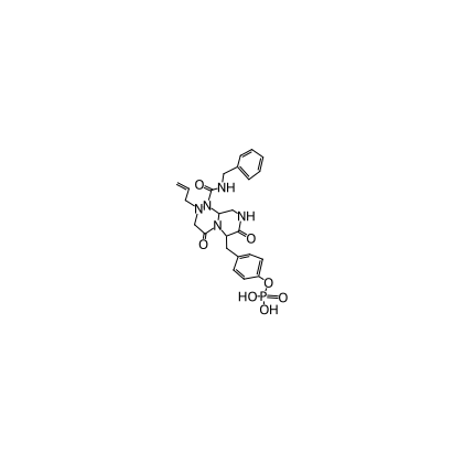 C=CCN1CC(=O)N2C(Cc3ccc(OP(=O)(O)O)cc3)C(=O)NCC2N1C(=O)NCc1ccccc1